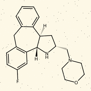 Fc1ccc2c(c1)[C@H]1N[C@@H](CN3CCOCC3)C[C@@H]1c1ccccc1C2